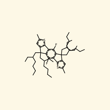 CCCCC(CC)CC1(CC(CC)CCCC)c2cc(C)sc2-c2c(F)c3c(c(F)c21)-c1sc(C)cc1C3(CC(CC)CCCC)CC(CC)CCCC